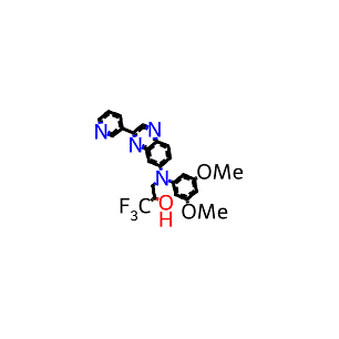 COc1cc(OC)cc(N(CC(O)C(F)(F)F)c2ccc3ncc(-c4cccnc4)nc3c2)c1